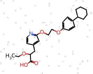 CCOC(Cc1ccnc(OCCOc2ccc(C3CCCCC3)cc2)c1)C(=O)O